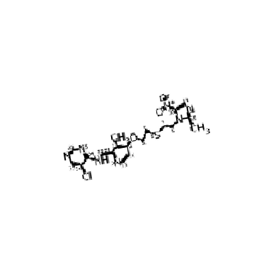 Cc1c(OCCSCCn2c([N+](=O)[O-])cnc2C)ccnc1CNc1ncncc1Cl